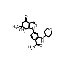 CC1(C)CC(=O)c2cnn(-c3ccc(C(N)=O)c(NC4CCOCC4)c3)c2C1